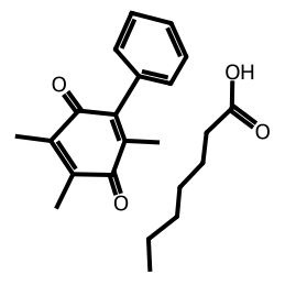 CC1=C(C)C(=O)C(c2ccccc2)=C(C)C1=O.CCCCCCC(=O)O